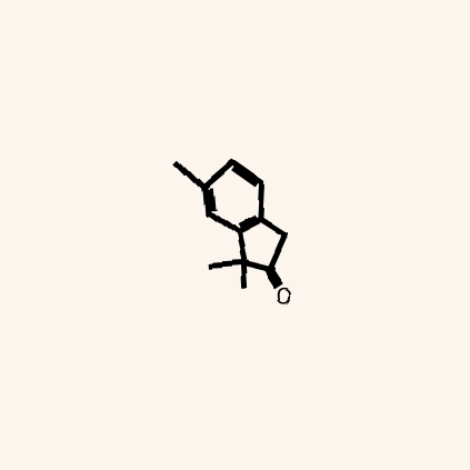 Cc1ccc2c(c1)C(C)(C)C(=O)C2